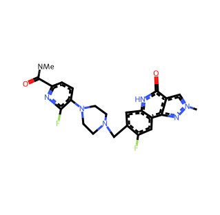 CNC(=O)c1ccc(N2CCN(Cc3cc4[nH]c(=O)c5cn(C)nc5c4cc3F)CC2)c(F)n1